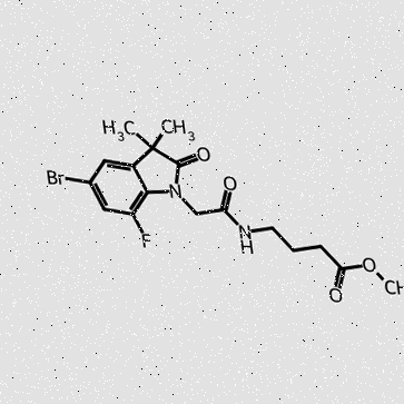 COC(=O)CCCNC(=O)CN1C(=O)C(C)(C)c2cc(Br)cc(F)c21